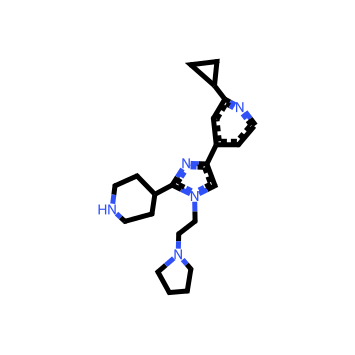 c1cc(-c2cn(CCN3CCCC3)c(C3CCNCC3)n2)cc(C2CC2)n1